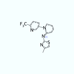 Cc1csc(/N=c2\ccccn2-c2ccc(C(F)(F)F)nc2)n1